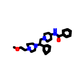 COCCN1CCN(C(CN2CCC(NC(=O)c3ccccc3)CC2)c2ccccc2)CC1